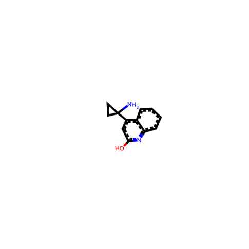 NC1(c2cc(O)nc3ccccc23)CC1